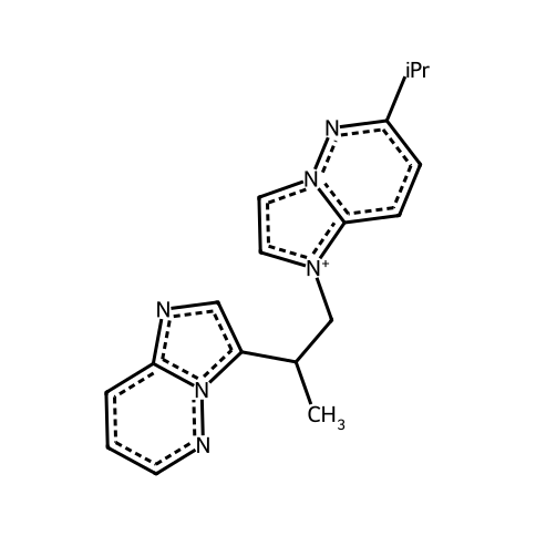 CC(C)c1ccc2n(cc[n+]2CC(C)c2cnc3cccnn23)n1